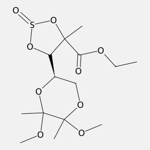 CCOC(=O)C1(C)OS(=O)OC1[C@H]1COC(C)(OC)C(C)(OC)O1